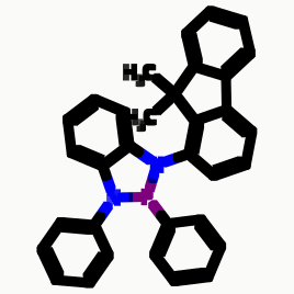 CC1(C)c2ccccc2-c2cccc(N3c4ccccc4N(c4ccccc4)P3c3ccccc3)c21